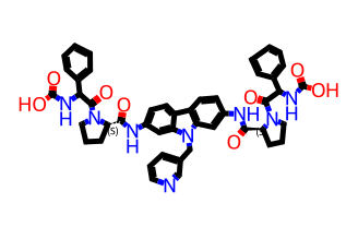 O=C(O)NC(C(=O)N1CCC[C@H]1C(=O)Nc1ccc2c3ccc(NC(=O)[C@@H]4CCCN4C(=O)C(NC(=O)O)c4ccccc4)cc3n(Cc3cccnc3)c2c1)c1ccccc1